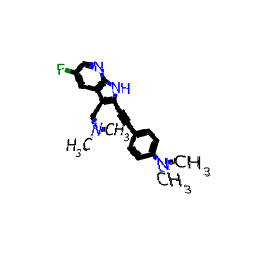 CN(C)Cc1c(C#Cc2ccc(N(C)C)cc2)[nH]c2ncc(F)cc12